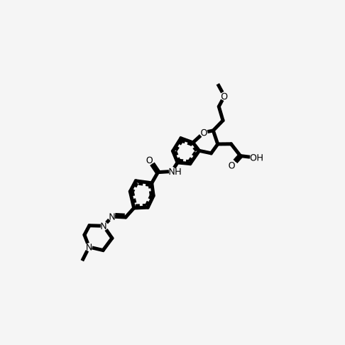 COCCC1Oc2ccc(NC(=O)c3ccc(C=NN4CCN(C)CC4)cc3)cc2CC1CC(=O)O